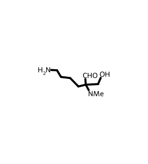 CNC(C=O)(CO)CCCCN